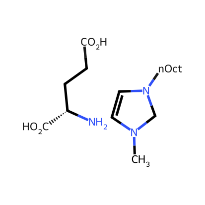 CCCCCCCCN1C=CN(C)C1.N[C@@H](CCC(=O)O)C(=O)O